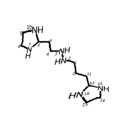 C(CNNCCC1NCCN1)CC1NCCN1